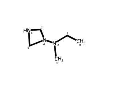 CCN(C)N1CNC1